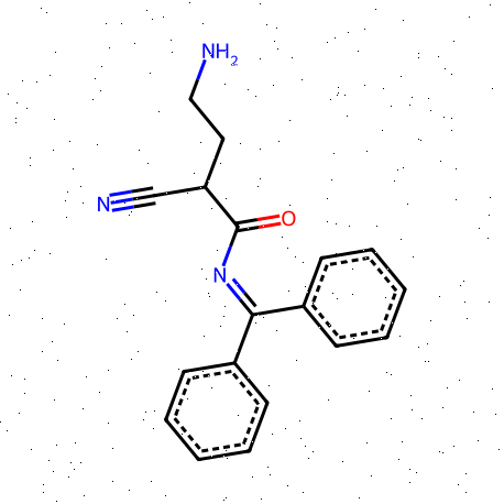 N#CC(CCN)C(=O)N=C(c1ccccc1)c1ccccc1